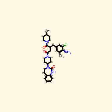 CCCC1CCN(C(=O)C(CC(=O)N2CCC(N3CCc4ccccc4NC3=O)CC2)Cc2cc(Cl)c(N)c(C(F)(F)F)c2)CC1